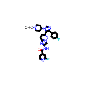 O=CN1CCC(n2cnc(-c3ccc(F)cc3)c2-c2ccc3nc(NC(=O)c4ccnc(F)c4)cn3n2)CC1